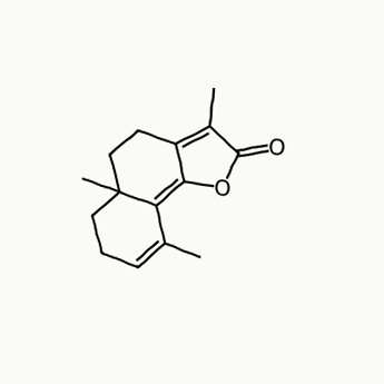 CC1=CCCC2(C)CCC3=C(C)C(=O)OC3=C12